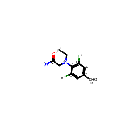 CC(C)CN(CC(N)=O)c1c(F)cc(C=O)cc1F